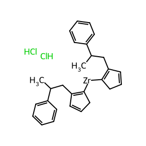 CC(CC1=[C]([Zr][C]2=C(CC(C)c3ccccc3)C=CC2)CC=C1)c1ccccc1.Cl.Cl